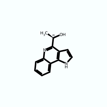 C[C@@H](O)c1nc2ccccc2c2[nH]ccc12